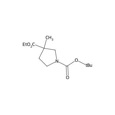 CCOC(=O)C1(C)CCN(C(=O)OC(C)(C)C)C1